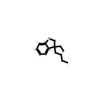 CCCCC1(CC)CSc2ccccc21